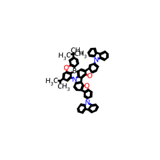 CC(C)c1cc2c3c(c1)-n1c4ccc5c6cc(-n7c8ccccc8c8ccccc87)ccc6oc5c4c4c5oc6ccc(-n7c8ccccc8c8ccccc87)cc6c5cc(c41)B3c1ccc(C(C)(C)C)cc1O2